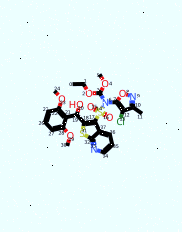 CCOC(OC)N(c1onc(C)c1Cl)S(=O)(=O)c1c(C(O)c2c(OC)cccc2OC)sc2ncccc12